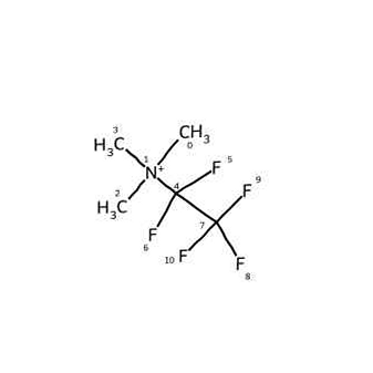 C[N+](C)(C)C(F)(F)C(F)(F)F